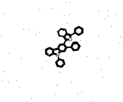 c1cccc(-c2cc3c(cc2-c2oc(-c4ccccc4)c4c2CCC=C4)c2ccccc2n3-c2ccccc2)c#1